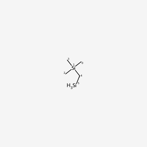 C[Si](C)(C)[CH][SiH3]